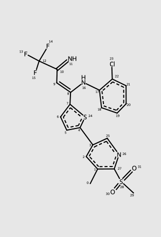 Cc1cc(-c2ccc(/C(=C/C(=N)C(F)(F)F)Nc3ccccc3Cl)s2)cnc1S(C)(=O)=O